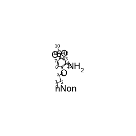 CCCCCCCCCCCCOc1ccc(S(C)(=O)=O)cc1N